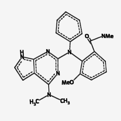 CNC(=O)c1cccc(OC)c1N(c1ccccc1)c1nc(N(C)C)c2cc[nH]c2n1